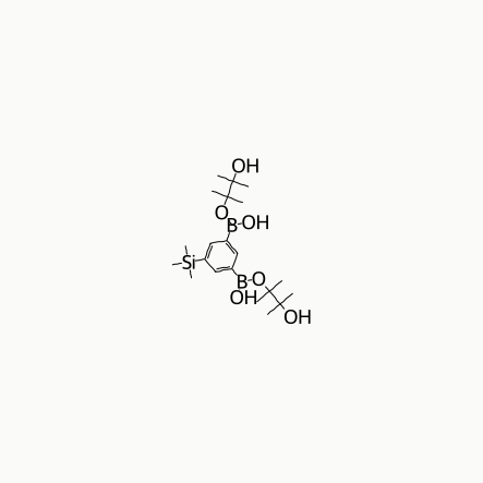 CC(C)(O)C(C)(C)OB(O)c1cc(B(O)OC(C)(C)C(C)(C)O)cc([Si](C)(C)C)c1